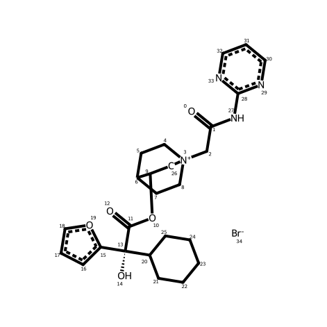 O=C(C[N+]12CCC(CC1)C(OC(=O)[C@](O)(c1ccco1)C1CCCCC1)C2)Nc1ncccn1.[Br-]